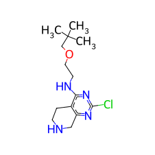 CC(C)(C)COCCNc1nc(Cl)nc2c1CCNC2